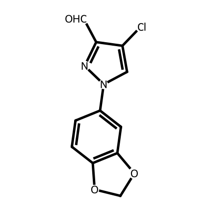 O=Cc1nn(-c2ccc3c(c2)OCO3)cc1Cl